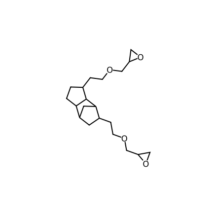 C(CC1CC2CC1C1C(CCOCC3CO3)CCC21)OCC1CO1